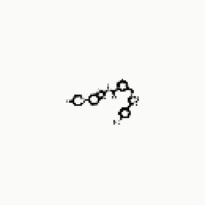 N#Cc1ccc(-c2cn(Cc3cccc(C(=O)Nc4nc5c(s4)CC(N4CCC(F)CC4)CC5)c3)nn2)cc1